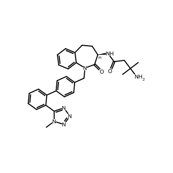 Cn1nnnc1-c1ccccc1-c1ccc(CN2C(=O)[C@H](NC(=O)CC(C)(C)N)CCc3ccccc32)cc1